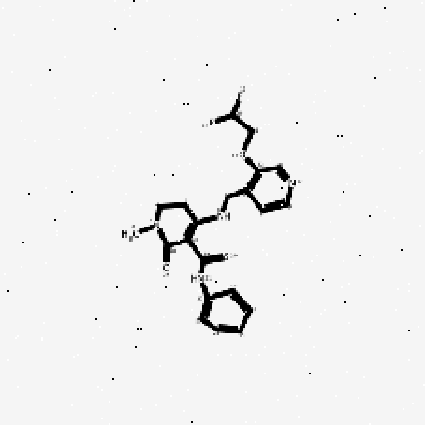 CN1CCC(NCc2ccncc2OCC(F)F)=C(C(=S)Nc2ccccc2)C1=O